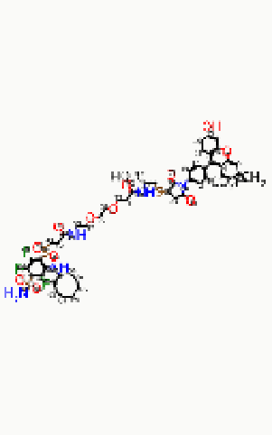 C=c1ccc2c(c1)Oc1cc(O)ccc1C=2c1ccc(N2C(=O)CC(SCC(NC(=O)CCOCCOCCNC(=O)CCS(=O)(=O)c3c(F)c(F)c(S(N)(=O)=O)c(F)c3NC3CCCCCCC3)C(=O)O)C2=O)cc1C(=O)O